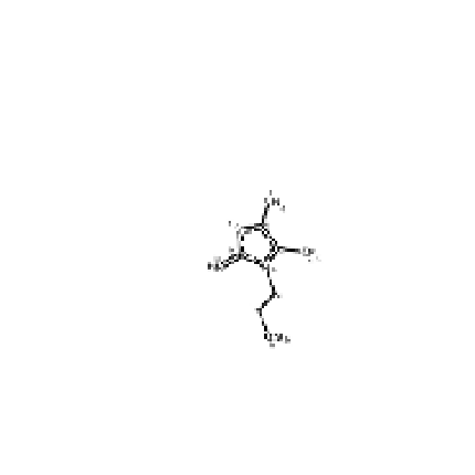 COCCn1c(C(F)(F)F)c(C)sc1=N